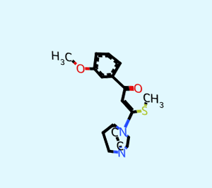 COc1cccc(C(=O)C=C(SC)N2CCN3CCC2CC3)c1